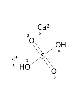 O=S(=O)(O)O.[Ca+2].[I+]